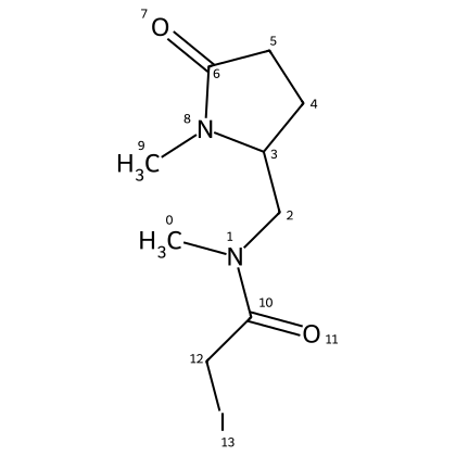 CN(CC1CCC(=O)N1C)C(=O)CI